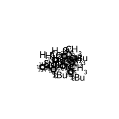 Cc1cc2c3c(c1)-n1c4sc5ccccc5c4c4cc(C(C)(C)C)cc(c41)B3c1ccc(N(c3ccc(C(C)(C)C)cc3C)c3ccc(C(C)(C)C)cc3C)cc1N2c1cc2c(cc1C)C(C)(C)CCC2(C)C